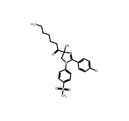 CCCCCCC(=O)C1(O)CN(c2ccc(S(C)(=O)=O)cc2)C(c2ccc(Cl)cc2)=N1